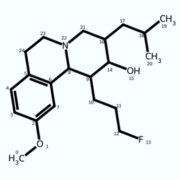 COc1ccc2c(c1)C1C(CCCF)C(O)C(CC(C)C)CN1CC2